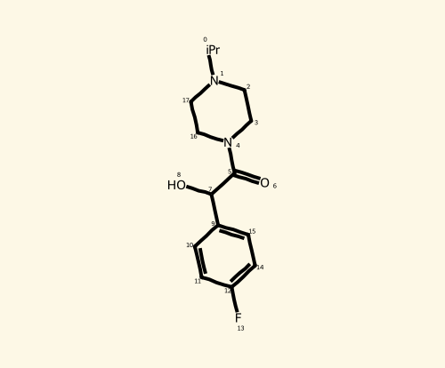 CC(C)N1CCN(C(=O)C(O)c2ccc(F)cc2)CC1